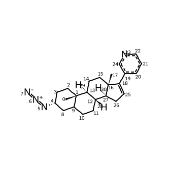 C[C@]12CC[C@@H](N=[N+]=[N-])CC1CC[C@@H]1[C@@H]2CC[C@]2(C)C(c3cccnc3)=CC[C@@H]12